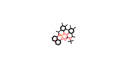 Cc1cc(C(C)C)c(OC(=O)OC(C)(C)C)c(-c2c(C)c(C)cc(C(C)C)c2OP(Oc2ccccc2)Oc2ccccc2)c1C